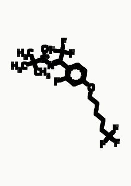 CC(C)(C)[S@+]([O-])N=C(c1ccc(OCCCCCC(F)(F)F)cc1F)C(F)(F)F